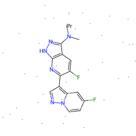 CC(C)N(C)c1n[nH]c2nc(-c3cnn4ccc(F)cc34)c(F)cc12